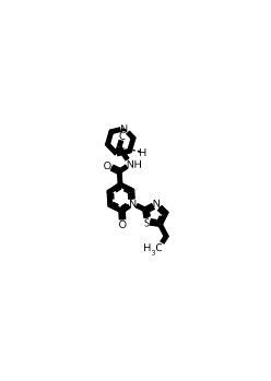 CCc1cnc(-n2cc(C(=O)N[C@@H]3CN4CCC3CC4)ccc2=O)s1